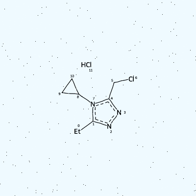 CCc1nnc(CCl)n1C1CC1.Cl